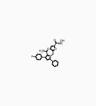 NC(=O)c1c(-c2ccc(F)cc2)cc(-c2ccccc2)n1Cc1ccc(C(=O)NO)o1